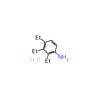 B.CCc1ccc(N)c(CC)c1CC